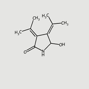 CC(C)=C1C(=O)NC(O)C1=C(C)C